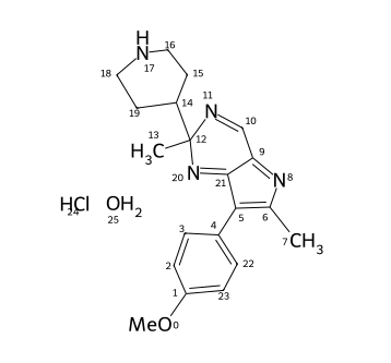 COc1ccc(C2=C(C)N=C3C=NC(C)(C4CCNCC4)N=C32)cc1.Cl.O